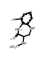 O=C(O)NC1CNc2cccc(F)c2NC1=O